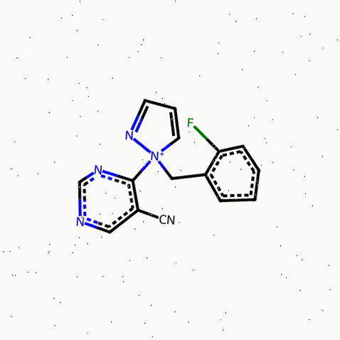 N#Cc1cncnc1[N+]1(Cc2ccccc2F)C=CC=N1